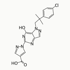 CC(C)(Cn1ncc2nc(-n3cc(C(=O)O)cn3)nc(O)c21)c1ccc(Cl)cc1